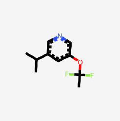 CC(C)c1cncc(OC(C)(F)F)c1